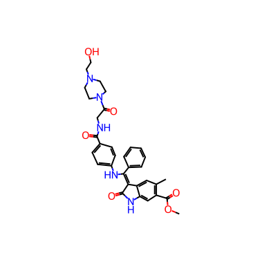 COC(=O)c1cc2c(cc1C)/C(=C(/Nc1ccc(C(=O)NCC(=O)N3CCN(CCO)CC3)cc1)c1ccccc1)C(=O)N2